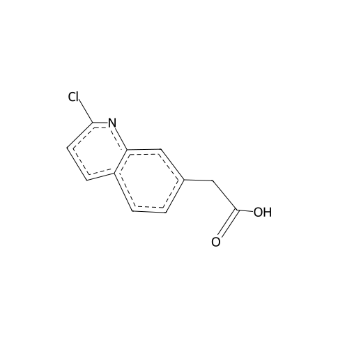 O=C(O)Cc1ccc2ccc(Cl)nc2c1